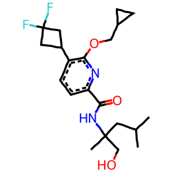 CC(C)CC(C)(CO)NC(=O)c1ccc(C2CC(F)(F)C2)c(OCC2CC2)n1